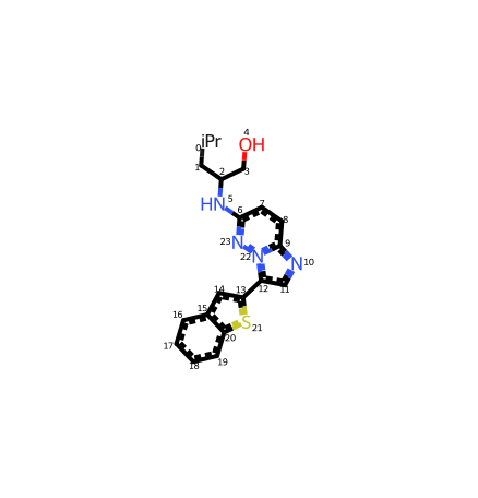 CC(C)CC(CO)Nc1ccc2ncc(-c3cc4ccccc4s3)n2n1